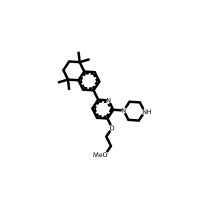 COCCOc1ccc(-c2ccc3c(c2)C(C)(C)CCC3(C)C)nc1N1CCNCC1